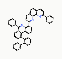 c1ccc(-c2ccc3ccc4ccc(-c5cccc6c5nc(-c5ccccc5)c5cccc(-c7ccccc7-c7ccccc7)c56)nc4c3n2)cc1